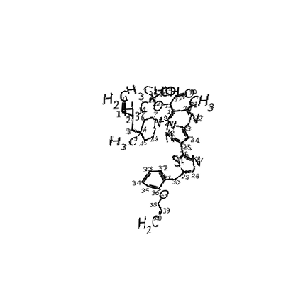 C=CCCC1(C)CCN(c2c(C(OC(C)(C)C)C(=O)O)c(C)nc3cc(-c4ncc(Cc5ccccc5OCC=C)s4)nn23)CC1